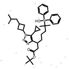 CC(C)CC1CC(n2nnc(C(CCCC(C)(C)[Si](O)(c3ccccc3)c3ccccc3)CC(=O)OC(C)(C)C)c2C2CC2)C1